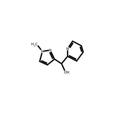 Cn1ccc(C(O)c2ccccn2)n1